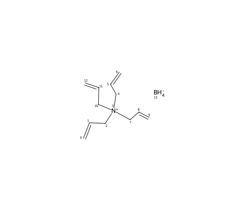 C=CC[N+](CC=C)(CC=C)CC=C.[BH4-]